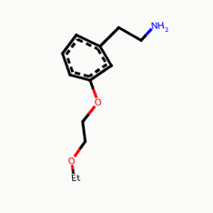 CCOCCOc1cccc(CCN)c1